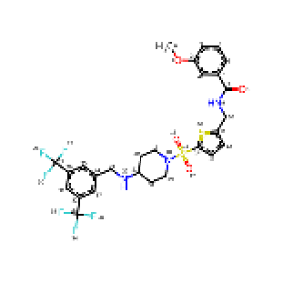 COc1cccc(C(=O)NCc2ccc(S(=O)(=O)N3CCC(NCc4cc(C(F)(F)F)cc(C(F)(F)F)c4)CC3)s2)c1